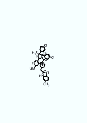 CCOc1cc(C(C)(C)C)ncc1C1=N[C@@](C)(c2ccc(Cl)cc2)[C@@](C)(c2ccc(Cl)cc2)N1C(=O)N1CCC(CC(=O)Nc2cc(C)ccc2Cl)CC1